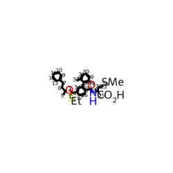 CCSC(OC(C)CCc1ccccc1)c1ccc(C(=O)N[C@@H](CCSC)C(=O)O)c(-c2ccccc2C)c1